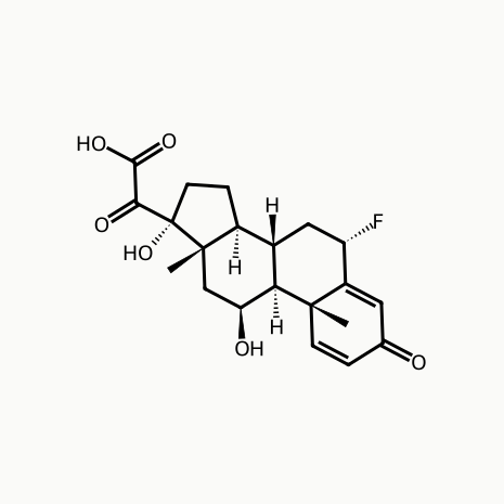 C[C@]12C=CC(=O)C=C1[C@@H](F)C[C@@H]1[C@@H]2[C@@H](O)C[C@@]2(C)[C@H]1CC[C@]2(O)C(=O)C(=O)O